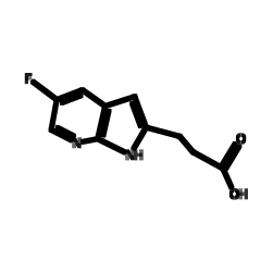 O=C(O)CCc1cc2cc(F)cnc2[nH]1